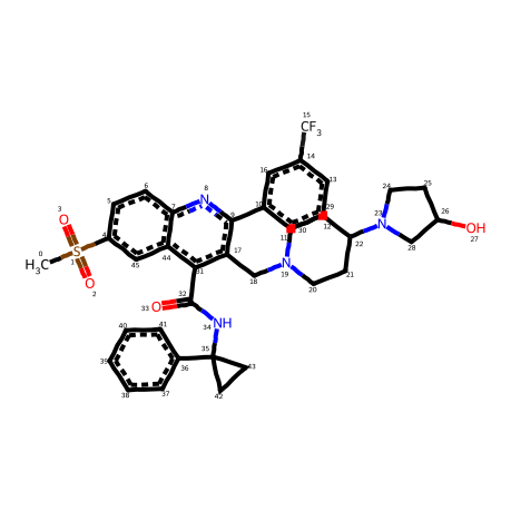 CS(=O)(=O)c1ccc2nc(-c3cccc(C(F)(F)F)c3)c(CN3CCC(N4CCC(O)C4)CC3)c(C(=O)NC3(c4ccccc4)CC3)c2c1